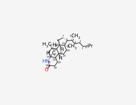 CC(C)CCC[C@@H](C)[C@H]1CC[C@H]2[C@@H]3[C@@H](C)CC4NC(=O)CC[C@]4(C)[C@H]3CC[C@]12C